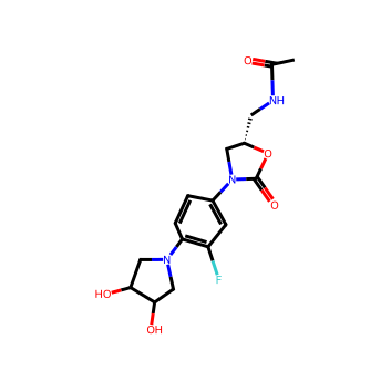 CC(=O)NC[C@H]1CN(c2ccc(N3CC(O)C(O)C3)c(F)c2)C(=O)O1